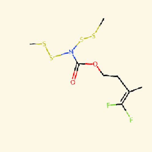 CSSN(SSC)C(=O)OCCC(C)=C(F)F